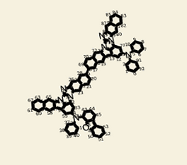 c1ccc(N(c2ccccc2)c2cc3c4cc5cc(-c6ccc7cc8c(cc7c6)nc6n8c7cc(N(c8ccccc8)c8cccc9c8oc8ccccc89)cc8c9cc%10ccccc%10cc9n6c87)ccc5cc4n4c3c(c2)n2c3cc5ccccc5cc3nc24)cc1